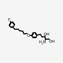 NC(CO)C(O)CCc1ccc(OCCCCCCc2ccc(F)cc2)cc1